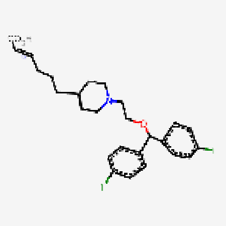 O=C(O)/C=C/CCCC1CCN(CCOC(c2ccc(F)cc2)c2ccc(F)cc2)CC1